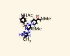 CNCC(=O)C1CCN(c2nc(Sc3ccc(NC(C)=O)cc3)nc(Nc3cc(C)[nH]n3)c2OC)CC1